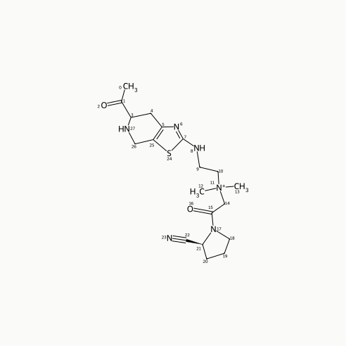 CC(=O)C1Cc2nc(NCC[N+](C)(C)CC(=O)N3CCC[C@H]3C#N)sc2CN1